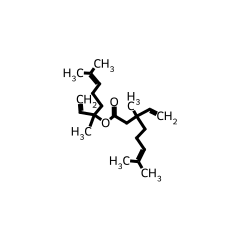 C=CC(C)(CCC=C(C)C)CC(=O)OC(C)(C=C)CCC=C(C)C